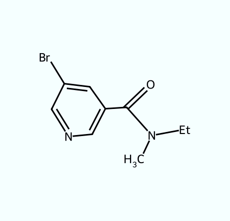 CCN(C)C(=O)c1cncc(Br)c1